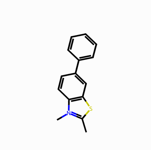 Cc1sc2cc(-c3ccccc3)ccc2[n+]1C